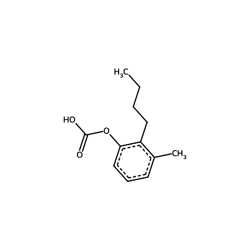 CCCCc1c(C)cccc1OC(=O)O